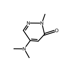 CN(C)c1cnn(C)c(=O)c1